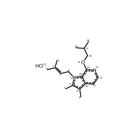 CC(C)=CCn1c(C)c(C)c2ccnc(OCC(C)C)c21.Cl